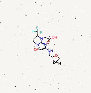 O=C(O)CN1c2nc(NC[C@H]3OC[C@@H]4CC43)cc(=O)n2CC[C@H]1C(F)(F)F